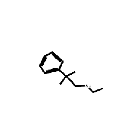 CCNCC(C)(C)c1ccccc1